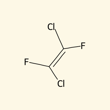 F/C(Cl)=C(/F)Cl